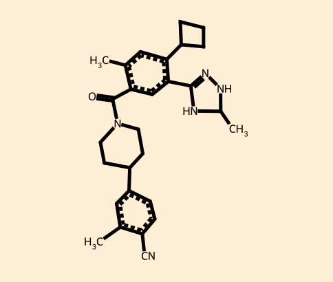 Cc1cc(C2CCN(C(=O)c3cc(C4=NNC(C)N4)c(C4CCC4)cc3C)CC2)ccc1C#N